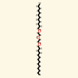 CCCCCCCCCCCCCCOCCOCCOCCCCCCCCCCCC